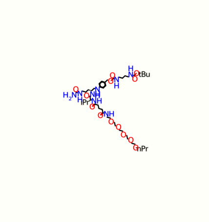 CCCOCCOCCOCCOCCOCCNC(=O)CCCC(=O)NC(C(=O)N[C@@H](CCCNC(N)=O)CNc1ccc(COC(=O)NCCCCNC(=O)OC(C)(C)C)cc1)C(C)C